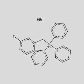 Br.Fc1cccc(C[PH](c2ccccc2)(c2ccccc2)c2ccccc2)c1